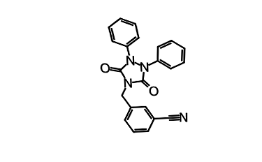 N#Cc1cccc(Cn2c(=O)n(-c3ccccc3)n(-c3ccccc3)c2=O)c1